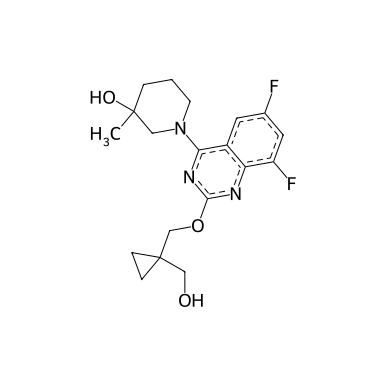 CC1(O)CCCN(c2nc(OCC3(CO)CC3)nc3c(F)cc(F)cc23)C1